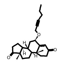 CCCC#CCO[C@@H]1C[C@@H]2[C@H](CC[C@]3(C)C(=O)CC[C@@H]23)[C@@]2(C)CCC(=O)C=C12